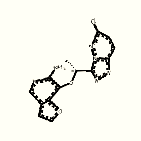 C[C@@H](Oc1c(N)ncc2ccoc12)c1nnc2ccc(Cl)nn12